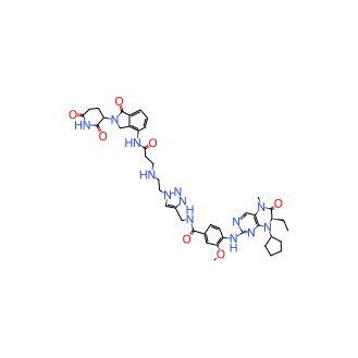 CC[C@@H]1C(=O)N(C)c2cnc(Nc3ccc(C(=O)NCc4cn(CCNCCC(=O)Nc5cccc6c5CN(C5CCC(=O)NC5=O)C6=O)nn4)cc3OC)nc2N1C1CCCC1